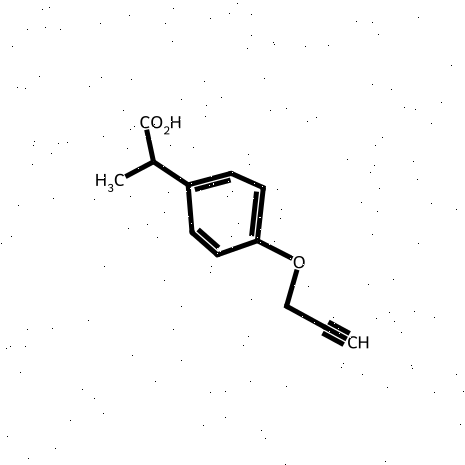 C#CCOc1ccc(C(C)C(=O)O)cc1